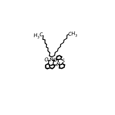 CCCCCCCCCCCC(CCCCCCCCCCC)N1C(=O)c2cccc3ccc(N4c5ccccc5Sc5ccccc54)c(c23)C1=O